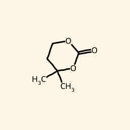 CC1(C)CCOC(=O)O1